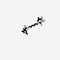 CCCC(C)(C(=O)OCCCCCCn1cc(C)c(=S)[nH]c1=S)C(C)C